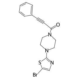 O=C(C#Cc1ccccc1)N1CCN(c2ncc(Br)s2)CC1